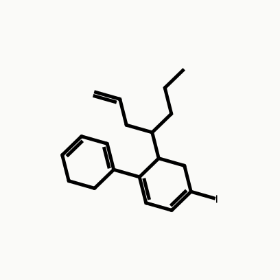 C=CCC(CCC)C1CC(I)=CC=C1C1=CC=CCC1